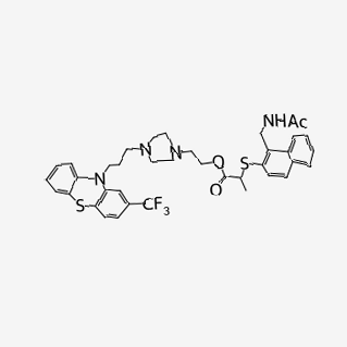 CC(=O)NCc1c(SC(C)C(=O)OCCN2CCN(CCCN3c4ccccc4Sc4ccc(C(F)(F)F)cc43)CC2)ccc2ccccc12